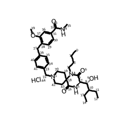 CCCCN1C(=O)[C@@H]([C@H](O)C(CC)CC)NC(=O)C12CCN(Cc1ccc(Cc3ccc(C(=O)NC)cc3OC)cc1)CC2.Cl